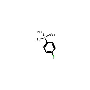 CCC[CH2][Sn]([CH2]CCC)([CH2]CCC)[c]1ccc(F)cc1